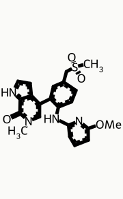 COc1cccc(Nc2ccc(CS(C)(=O)=O)cc2-c2cn(C)c(=O)c3[nH]ccc23)n1